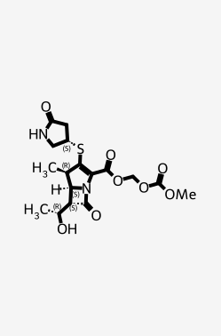 COC(=O)OCOC(=O)C1=C(S[C@@H]2CNC(=O)C2)[C@H](C)[C@@H]2[C@@H]([C@@H](C)O)C(=O)N12